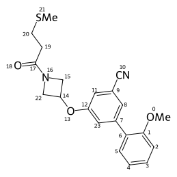 COc1ccccc1-c1cc(C#N)cc(OC2CN(C(=O)CCSC)C2)c1